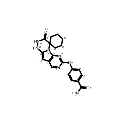 NC(=O)c1ccc(Nc2ncc3cc4n(c3n2)C2(CCCCC2)C(=O)NN4)cc1